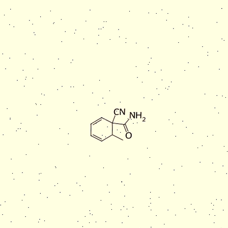 CC1C=CC=CC1(C#N)C(N)=O